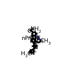 CCCNc1cc(C(N)=O)ccc1/C1=C/C(C(F)(F)F)=C(\C)CCc2c1cccc2-n1cnc(-c2cnn(C)c2)c1